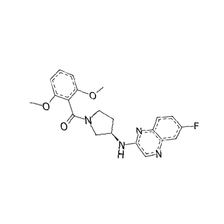 COc1cccc(OC)c1C(=O)N1CC[C@@H](Nc2cnc3cc(F)ccc3n2)C1